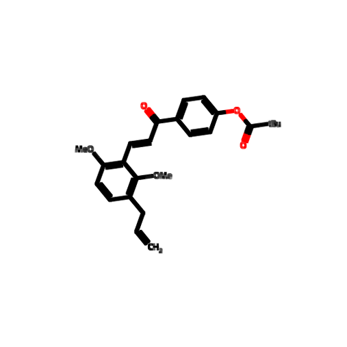 C=CCc1ccc(OC)c(C=CC(=O)c2ccc(OC(=O)C(C)(C)C)cc2)c1OC